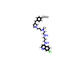 CCN(CCCN1CCC(Cc2ccc(OC)cc2)C1)CCNCCCNc1ccnc2cc(Cl)ccc12